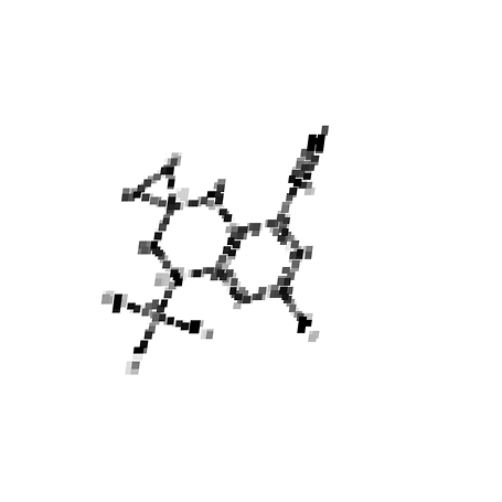 N#Cc1cc(F)cc2c1OC1(CC1)CN2C(F)(F)F